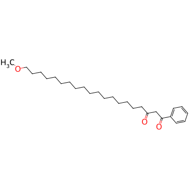 COCCCCCCCCCCCCCCCCCC(=O)CC(=O)c1ccccc1